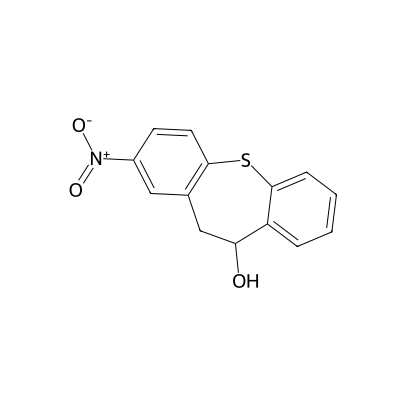 O=[N+]([O-])c1ccc2c(c1)CC(O)c1ccccc1S2